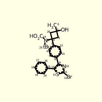 CC1(O)CC(c2ccc(-c3nc(Br)sc3-c3ccccc3)cc2)(N(C(=O)O)C(C)(C)C)C1